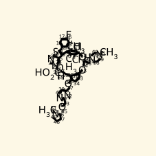 Cc1c(Cl)c2c(Cl)c(C)c1-c1c(-c3ccc(F)cc3)sc3ncnc(c13)O[C@@H](C(=O)O)Cc1cc(ccc1OCc1ccnc(COC[C@@H]3CCCN3C)n1)OC[C@@H](CN1CCN(C)CC1)O2